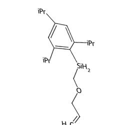 C=CCOC[SiH2]c1c(C(C)C)cc(C(C)C)cc1C(C)C